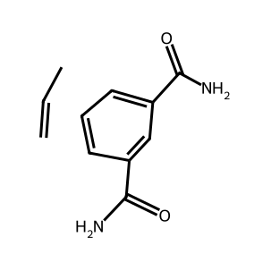 C=CC.NC(=O)c1cccc(C(N)=O)c1